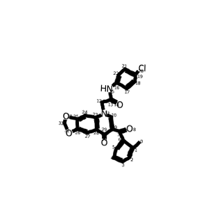 Cc1ccccc1C(=O)c1cn(CC(=O)Nc2ccc(Cl)cc2)c2cc3c(cc2c1=O)OCO3